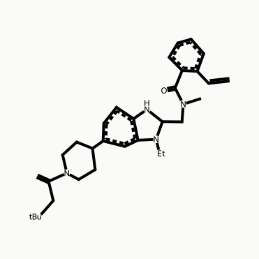 C=Cc1ccccc1C(=O)N(C)CC1Nc2ccc(C3CCN(C(=C)CC(C)(C)C)CC3)cc2N1CC